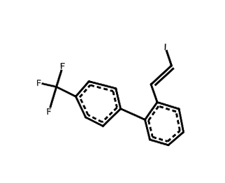 FC(F)(F)c1ccc(-c2ccccc2/C=C/I)cc1